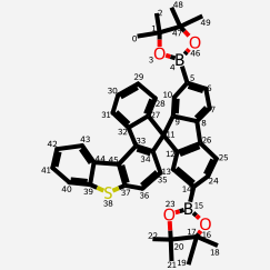 CC1(C)OB(c2ccc3c(c2)C2(c4cc(B5OC(C)(C)C(C)(C)O5)ccc4-3)c3ccccc3-c3c2ccc2sc4ccccc4c32)OC1(C)C